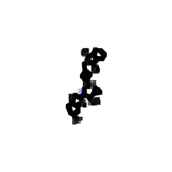 N=C(/C(=C\NC1CC(CN2C(=O)c3ccccc3C2=O)C1)c1cnc2ccc(Br)cc2n1)C1CC1